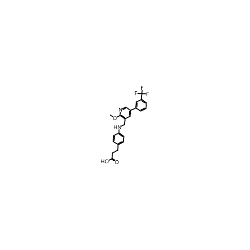 COc1ncc(-c2cccc(C(F)(F)F)c2)cc1CNc1ccc(CCC(=O)O)cc1